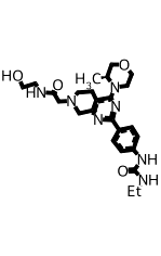 CCNC(=O)Nc1ccc(-c2nc3c(c(N4CCOC[C@@H]4C)n2)CCN(CC(=O)NCCO)C3)cc1